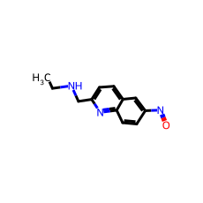 CCNCc1ccc2cc(N=O)ccc2n1